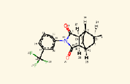 C[C@H]1C[C@H]2CC[C@@H]1[C@@H]1C(=O)N(c3cccc(C(F)(F)F)c3)C(=O)[C@H]21